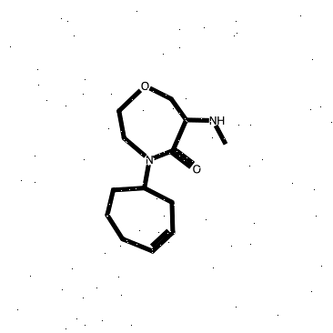 CNC1COCCN(C2CC=CCCC2)C1=O